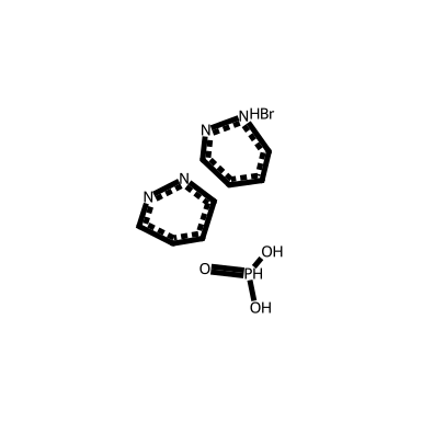 Br.O=[PH](O)O.c1ccnnc1.c1ccnnc1